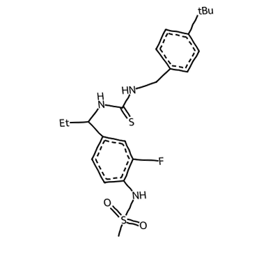 CCC(NC(=S)NCc1ccc(C(C)(C)C)cc1)c1ccc(NS(C)(=O)=O)c(F)c1